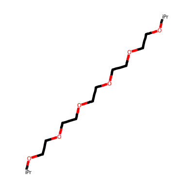 CC(C)OCCOCCOCCOCCOCCOC(C)C